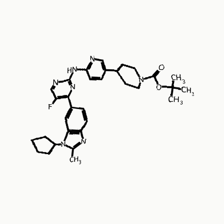 Cc1nc2ccc(-c3nc(Nc4ccc(C5CCN(C(=O)OC(C)(C)C)CC5)cn4)ncc3F)cc2n1C1CCCC1